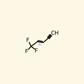 C#C/C=C/C(F)(F)F